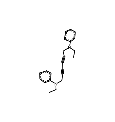 CCN(CC#CC#CCN(CC)c1ccccc1)c1ccccc1